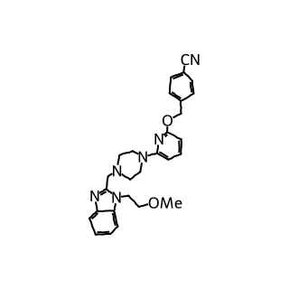 COCCn1c(CN2CCN(c3cccc(OCc4ccc(C#N)cc4)n3)CC2)nc2ccccc21